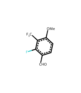 COc1ccc(C=O)c(F)c1C(F)(F)F